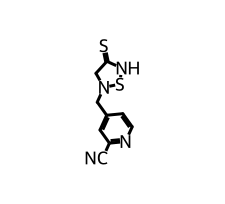 N#Cc1cc(CN2CC(=S)NS2)ccn1